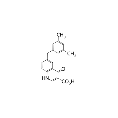 Cc1cc(C)cc(Cc2ccc3[nH]cc(C(=O)O)c(=O)c3c2)c1